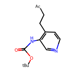 CC(=O)CCc1ccncc1NC(=O)OC(C)(C)C